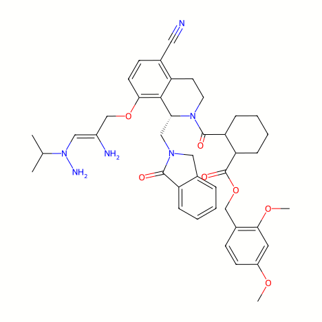 COc1ccc(COC(=O)C2CCCCC2C(=O)N2CCc3c(C#N)ccc(OC/C(N)=C/N(N)C(C)C)c3[C@H]2CN2Cc3ccccc3C2=O)c(OC)c1